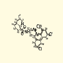 Cc1cnc2c(S(=O)(=O)NCC3=NN(c4ccc(Cl)cc4Cl)C(c4ccc(Cl)cc4)C3)cccc2c1